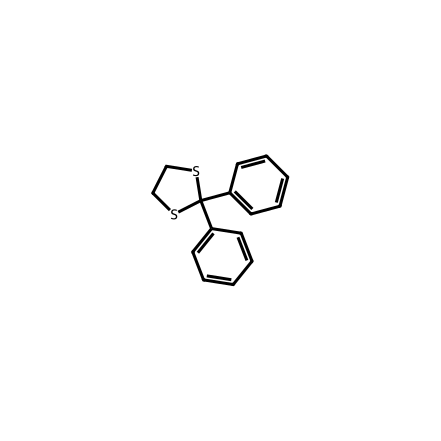 c1ccc(C2(c3ccccc3)SCCS2)cc1